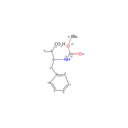 CC(C(=O)O)C(Cc1ccccc1)NC(=O)OC(C)(C)C